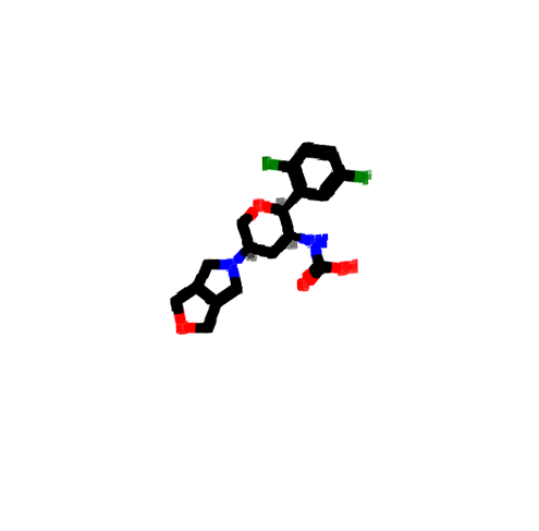 O=C(O)N[C@H]1C[C@@H](N2CC3COCC3C2)CO[C@H]1c1cc(F)ccc1F